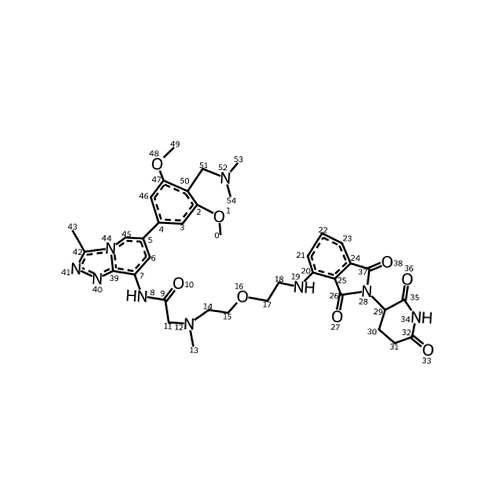 COc1cc(-c2cc(NC(=O)CN(C)CCOCCNc3cccc4c3C(=O)N(C3CCC(=O)NC3=O)C4=O)c3nnc(C)n3c2)cc(OC)c1CN(C)C